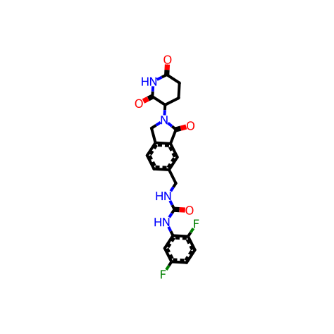 O=C1CCC(N2Cc3ccc(CNC(=O)Nc4cc(F)ccc4F)cc3C2=O)C(=O)N1